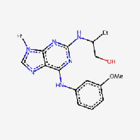 CCC(CO)Nc1nc(Nc2cccc(OC)c2)c2ncn(CC)c2n1